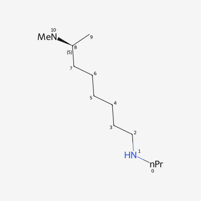 CCCNCCCCCC[C@H](C)NC